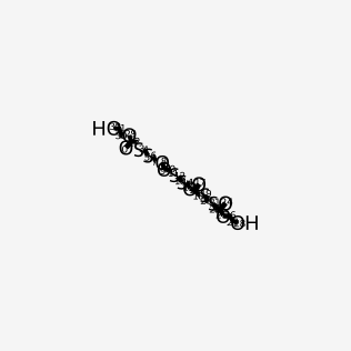 O=C(CSCSCCOOCSCSCOC(=O)CSCSCC(=O)OCCO)OCCO